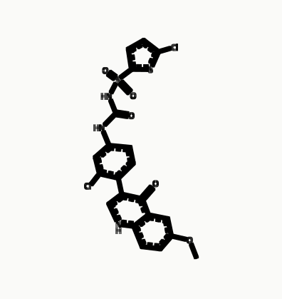 COc1ccc2[nH]cc(-c3ccc(NC(=O)NS(=O)(=O)c4ccc(Cl)s4)cc3Cl)c(=O)c2c1